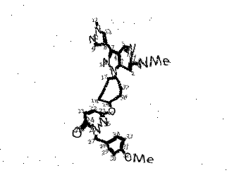 CNc1cc2c(cn1)c(-c1cnn(C)c1)nn2C1CCC(Oc2ccc(=O)n(Cc3ccc(OC)cc3)n2)CC1